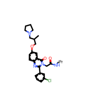 CC(COc1ccc2nc(-c3cccc(Cl)c3)n(CC(=O)NC(C)C)c(=O)c2c1)CN1CCCC1